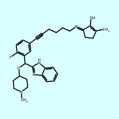 CC1=C(O)C(=NCCCCC#Cc2ccc(F)c(C(OC3CCN(C)CC3)c3nc4ccccc4[nH]3)c2)CC1